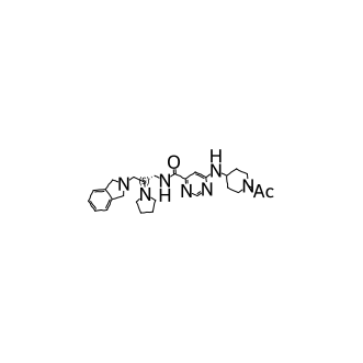 CC(=O)N1CCC(Nc2cc(C(=O)NC[C@@H](CN3Cc4ccccc4C3)N3CCCC3)ncn2)CC1